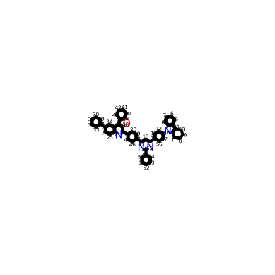 C1=Cc2c(c3ccccc3n2-c2ccc(-c3cc(-c4ccc(-c5nc6ccc(-c7ccccc7)cc6c6c5oc5ccccc56)cc4)nc(-c4ccccc4)n3)cc2)CC1